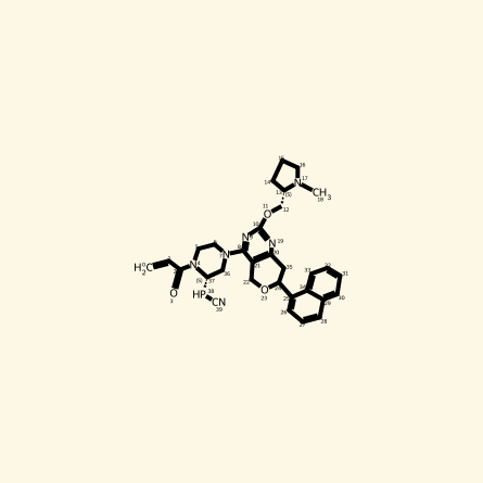 C=CC(=O)N1CCN(c2nc(OC[C@@H]3CCCN3C)nc3c2COC(c2cccc4ccccc24)C3)C[C@@H]1PC#N